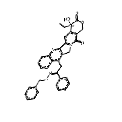 CC[C@@]1(O)C(=O)OCc2c1cc1n(c2=O)Cc2c-1nc1ccccc1c2CC(=NOCc1ccccc1)c1ccccc1